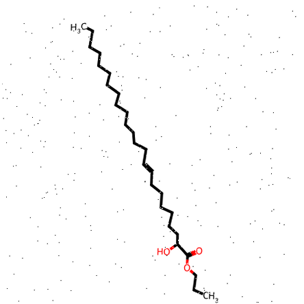 CCCCCCCCCCCCCCC=CCCCCCCC(O)C(=O)OCCC